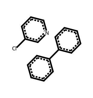 Clc1cccnc1.c1ccc(-c2ccccc2)cc1